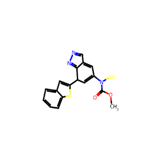 COC(=O)N(S)C1=CC(c2cc3ccccc3s2)C2=NN=CC2=C1